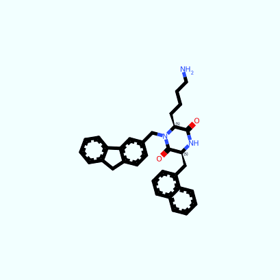 NCCCC[C@H]1C(=O)N[C@@H](Cc2cccc3ccccc23)C(=O)N1Cc1ccc2c(c1)-c1ccccc1C2